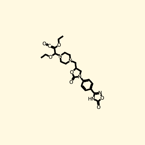 CCOC(=C=O)C(OCC)N1CCN(CC2CN(c3ccc(-c4noc(=O)[nH]4)cc3)C(=O)O2)CC1